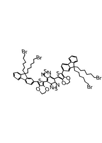 BrCCCCCCC1(CCCCCCBr)c2ccccc2-c2ccc(-c3sc(-c4c5c(c(-c6sc(-c7ccc8c(c7)C(CCCCCCBr)(CCCCCCBr)c7ccccc7-8)c7c6OCCO7)c6nsnc46)N=S=N5)c4c3OCCO4)cc21